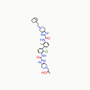 Cc1c(NC(=O)c2nc3c(n2C)CCN(CCC24CCC(CC2)C4)C3)cccc1-c1cccc(NC(=O)c2nc3c(n2C)CCN(C[C@@H](C)O)C3)c1Cl